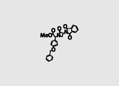 COC(=O)C(c1ccc(OCc2ccccc2)cc1)N1CC(N2C(=O)c3ccccc3C2=O)C1=O